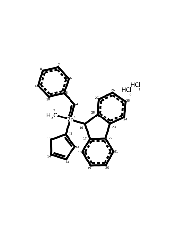 Cl.Cl.[CH3][Zr](=[CH]c1ccccc1)([C]1=CC=CC1)[CH]1c2ccccc2-c2ccccc21